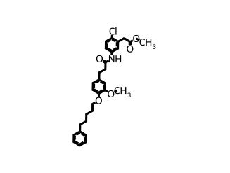 COC(=O)Cc1cc(NC(=O)CCc2ccc(OCCCCCc3ccccc3)c(OC)c2)ccc1Cl